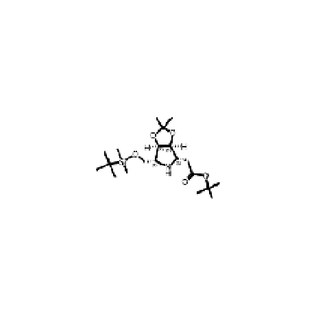 CC(C)(C)OC(=O)C[C@@H]1N[C@H](CO[Si](C)(C)C(C)(C)C)[C@H]2OC(C)(C)O[C@H]21